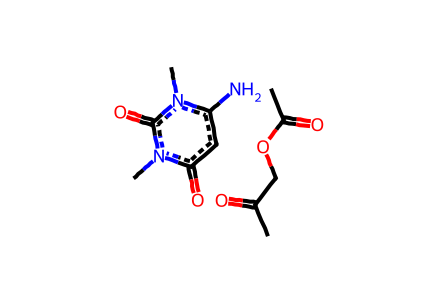 CC(=O)COC(C)=O.Cn1c(N)cc(=O)n(C)c1=O